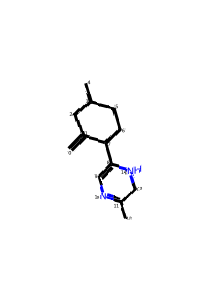 C=C1CC(C)CCC1C1=CN=C(C)CN1